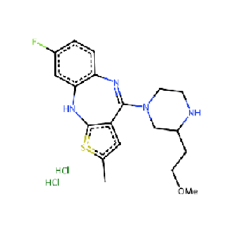 COCCC1CN(C2=Nc3ccc(F)cc3Nc3sc(C)cc32)CCN1.Cl.Cl